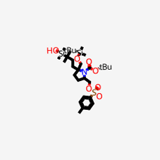 Cc1ccc(S(=O)(=O)OCC2CCC(CCC(C)(C)[Si](C)(C)O)(CO[Si](C)(C)C(C)(C)C)N2C(=O)OC(C)(C)C)cc1